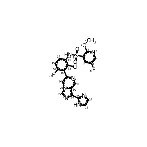 COc1ncc(F)cc1S(=O)(=O)Nc1ccc(F)c(-c2cn3cnc(-c4ncc[nH]4)c3cn2)c1Cl